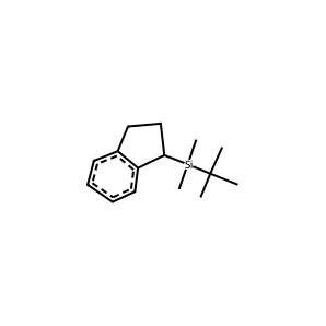 CC(C)(C)[Si](C)(C)C1CCc2ccccc21